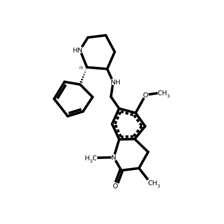 COc1cc2c(cc1CNC1CCCN[C@H]1C1C=CC=CC1)N(C)C(=O)C(C)C2